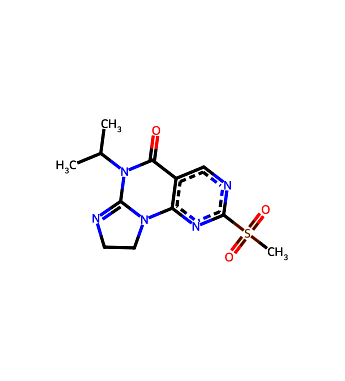 CC(C)N1C(=O)c2cnc(S(C)(=O)=O)nc2N2CCN=C21